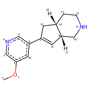 COc1cncc(C2=C[C@H]3CNCC[C@H]3C2)c1